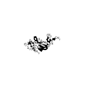 C=CCNC(=O)C(=O)C(CCC)NC(=O)[C@@H]1[C@H]2CCC3(CC3)[C@H]2CN1C(=O)[C@@H](NOCN[C@H](CN(C)S(C)(=O)=O)C(C)(C)C)C1(C)CCCCC1